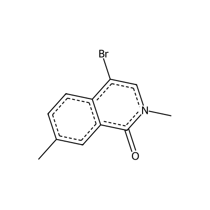 Cc1ccc2c(Br)cn(C)c(=O)c2c1